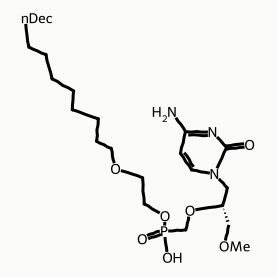 CCCCCCCCCCCCCCCCCCOCCOP(=O)(O)CO[C@@H](COC)Cn1ccc(N)nc1=O